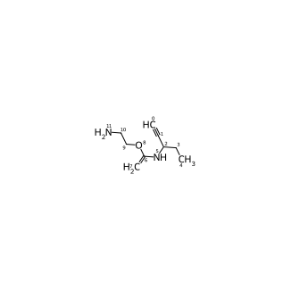 C#CC(CC)NC(=C)OCCN